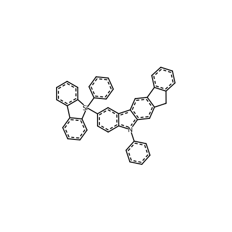 c1ccc(-n2c3ccc([Si]4(c5ccccc5)c5ccccc5-c5ccccc54)cc3c3cc4c(cc32)Cc2ccccc2-4)cc1